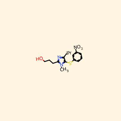 CC(C)c1nc(CCCO)n(C)c1Sc1cccc([N+](=O)[O-])c1